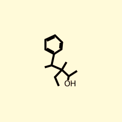 CCC(C)(C(C)O)C(C)c1ccccc1